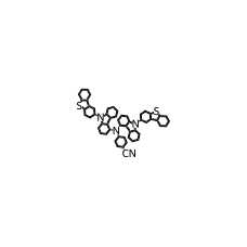 N#Cc1ccc(N(c2cccc3c2c2ccccc2n3-c2ccc3sc4ccccc4c3c2)c2cccc3c2c2ccccc2n3-c2ccc3sc4ccccc4c3c2)cc1